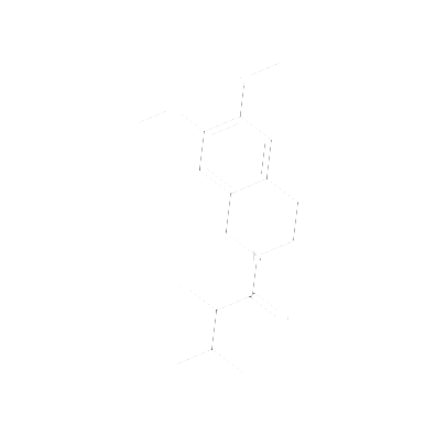 COc1cc2c(cc1OC)CN(C(=O)C(Br)C(C)C)CC2